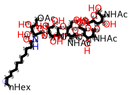 CCCCCC/C=C\CCCCCCCCCC(=O)N[C@H]1C(O)[C@H](O)C(COC(C)=O)O[C@H]1O[C@H](C(O)CO)[C@H](O)C(CO[C@@H]1C(CO)O[C@@H](O[C@@H]2C(CO)O[C@@H](O[C@@H]3C(CO)O[C@@H](O)[C@@H](NC(C)=O)C3O)[C@@H](NC(C)=O)C2O)[C@@H](NC(C)=O)C1O)NC(C)=O